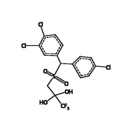 O=S(=O)(CC(O)(O)C(F)(F)F)C(c1ccc(Cl)cc1)c1ccc(Cl)c(Cl)c1